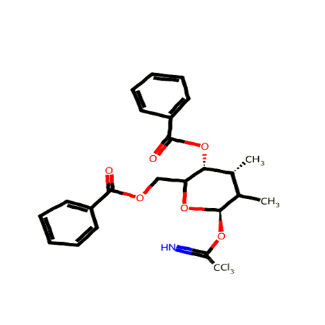 CC1[C@@H](OC(=N)C(Cl)(Cl)Cl)OC(COC(=O)c2ccccc2)[C@H](OC(=O)c2ccccc2)[C@@H]1C